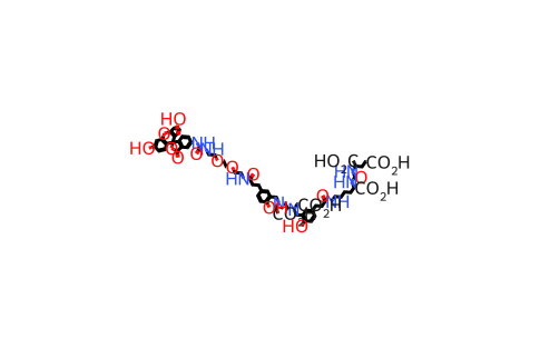 O=C(O)CCC(NC(=O)NC(CCCCNC(=O)CCc1ccc(O)c(CN(CCN(CC(=O)O)Cc2cc(CCC(=O)NCCOCCOCCNC(=O)Nc3ccc4c(c3)C(=O)OC43c4ccc(O)cc4Oc4cc(O)ccc43)ccc2O)CC(=O)O)c1)C(=O)O)C(=O)O